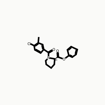 Cc1cc(C(=O)N2CCCC[C@@H]2C(=O)Oc2ccccc2)ccc1Cl